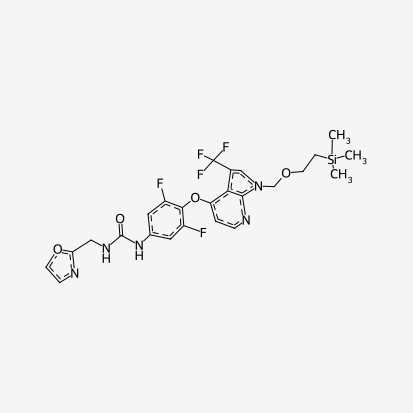 C[Si](C)(C)CCOCn1cc(C(F)(F)F)c2c(Oc3c(F)cc(NC(=O)NCc4ncco4)cc3F)ccnc21